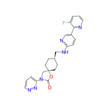 O=C1O[C@]2(CC[C@H](CNc3ccc(-c4ncccc4F)cn3)CC2)CN1c1cccnn1